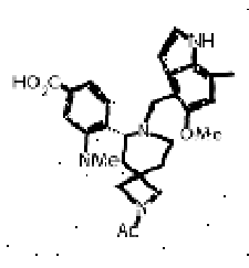 CNc1cc(C(=O)O)ccc1[C@H]1CC2(CCN1Cc1c(OC)cc(C)c3[nH]ccc13)CN(C(C)=O)C2